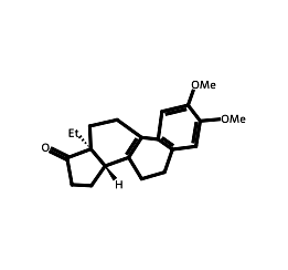 CC[C@]12CCC3=C(CCc4cc(OC)c(OC)cc43)[C@@H]1CCC2=O